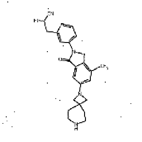 CCC(C#N)Cc1cccc(N2Cc3c(cc(N4CC5(CCNCC5)C4)cc3C(F)(F)F)C2=O)c1